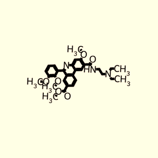 CCN(CC)CCNC(=O)c1cc2c(cc1OC)nc(-c1cccc(OC)c1OC)c1cc(C(=O)OC)ccc12